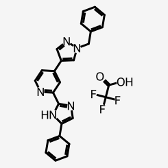 O=C(O)C(F)(F)F.c1ccc(Cn2cc(-c3ccnc(-c4ncc(-c5ccccc5)[nH]4)c3)cn2)cc1